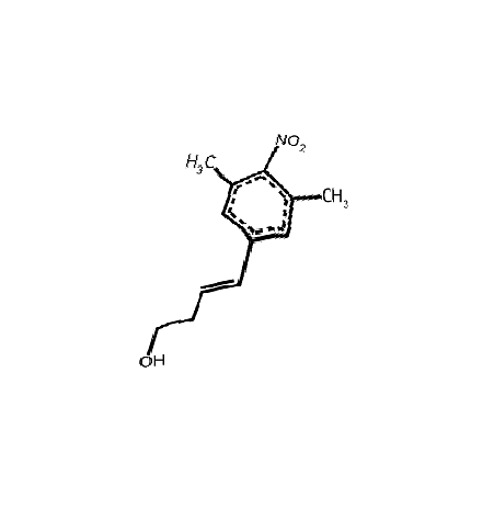 Cc1cc(/C=C/CCO)cc(C)c1[N+](=O)[O-]